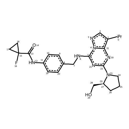 CC(C)c1cnn2c(NCc3ccc(NC(=O)C4(F)CC4)cc3)nc(N3CCC[C@H]3CO)nc12